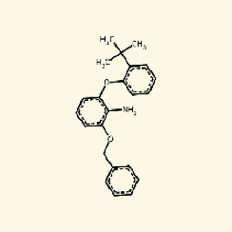 CC(C)(C)c1ccccc1Oc1cccc(OCc2ccccc2)c1N